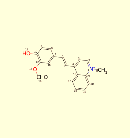 C[n+]1ccc(/C=C/c2ccc(O)c(OC=O)c2)c2ccccc21